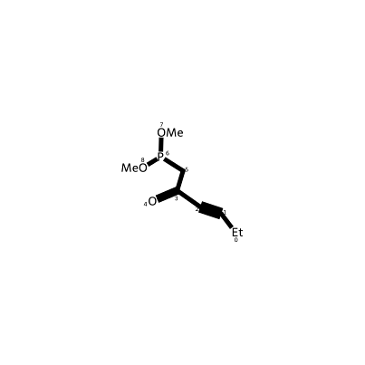 CCC#CC(=O)CP(OC)OC